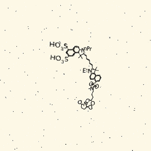 CCCN1/C(=C/C=C/C=C/C2=[N+](CC)c3ccc4c(S(=O)(=O)N(C)CCCC(=O)ON5C(=O)CCC5=O)cccc4c3C2(C)C)C(C)(C)c2c1ccc1c(S(=O)(=O)O)cc(S(=O)(=O)O)cc21